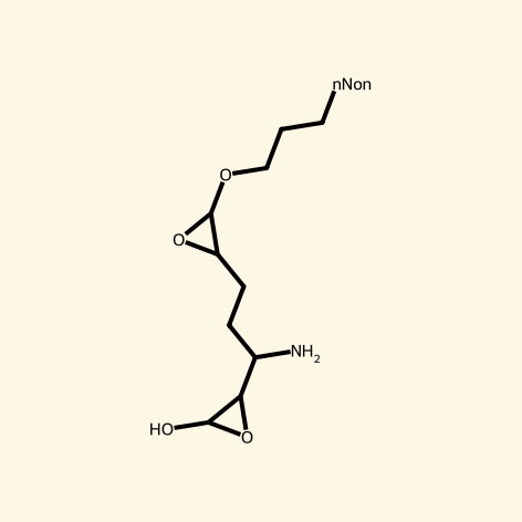 CCCCCCCCCCCCOC1OC1CCC(N)C1OC1O